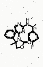 C[C@H](Nc1nccc(N2C(=O)OCC2(C)c2ccccc2)n1)c1ccc(F)cc1